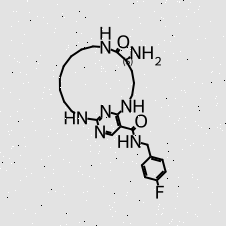 N[C@H]1CCCNc2nc(ncc2C(=O)NCc2ccc(F)cc2)NCCCCCCCCNC1=O